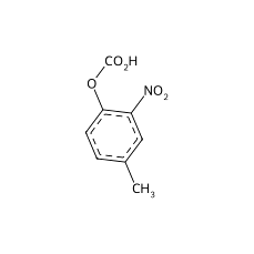 Cc1ccc(OC(=O)O)c([N+](=O)[O-])c1